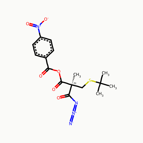 CC(C)(C)SC[C@@](C)(C(=O)N=[N+]=[N-])C(=O)OC(=O)c1ccc([N+](=O)[O-])cc1